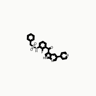 O=C(c1cccc(NS(=O)(=O)Cc2ccccc2)c1F)c1c[nH]c2ncc(-c3ccncc3)cc12